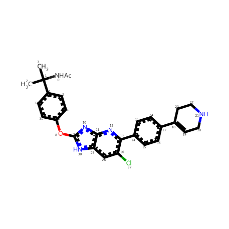 CC(=O)NC(C)(C)c1ccc(Oc2nc3nc(-c4ccc(C5=CCNCC5)cc4)c(Cl)cc3[nH]2)cc1